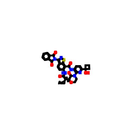 CC(=O)O[C@@H](C(=O)Nc1ccc2c(N3C(=O)c4ccccc4C3=O)nsc2c1C(N)=O)[C@H]1OCCN(c2cccc(C3(O)CCC3)n2)C1=O